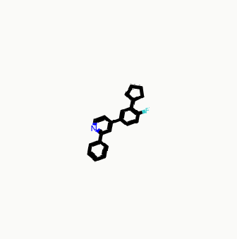 Fc1ccc(-c2ccnc(-c3ccccc3)c2)cc1C1CCCC1